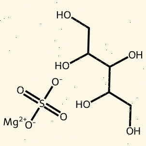 O=S(=O)([O-])[O-].OCC(O)C(O)C(O)CO.[Mg+2]